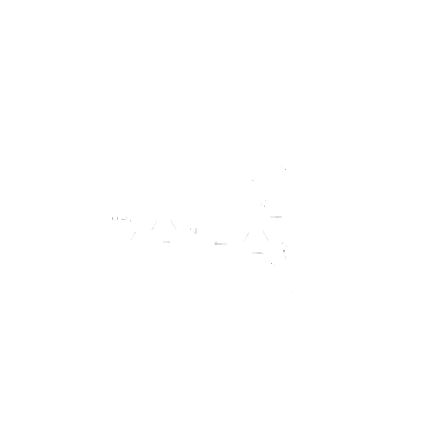 CNC(=O)c1cc(C(F)F)c(NCC#Cc2cc(C(=O)N[C@@H]3[C@@H](C)CN(C4CCOCC4)C[C@@H]3F)c3ncn(CC(F)(F)F)c3c2)cc1F